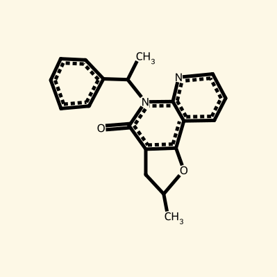 CC1Cc2c(c3cccnc3n(C(C)c3ccccc3)c2=O)O1